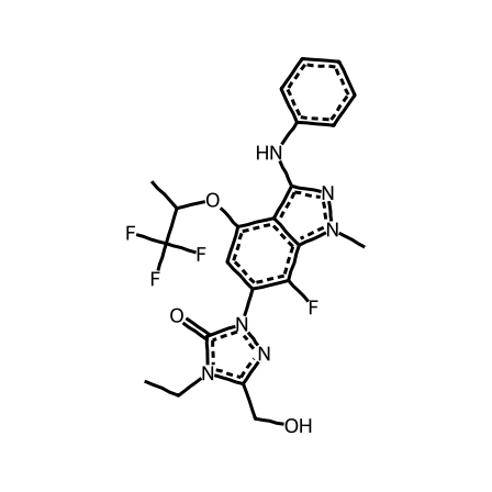 CCn1c(CO)nn(-c2cc(OC(C)C(F)(F)F)c3c(Nc4ccccc4)nn(C)c3c2F)c1=O